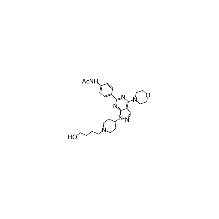 CC(=O)Nc1ccc(-c2nc(N3CCOCC3)c3cnn(C4CCN(CCCCO)CC4)c3n2)cc1